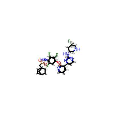 O=S(=O)(CC12CCC(CC1)C2)Nc1c(F)cc(Oc2ncccc2-c2ccnc(N[C@@H]3CNC[C@@H](F)C3)n2)c(F)c1F